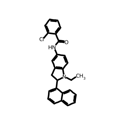 CCN1c2ccc(NC(=O)c3ccccc3Cl)cc2CC1c1cccc2ccccc12